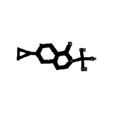 O=c1c2cnc(C3CC3)cc2ccn1C(O)(O)O